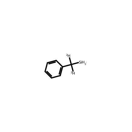 [2H]C([2H])([SiH2])c1ccccc1